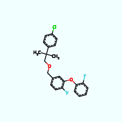 CC(C)(COCc1ccc(F)c(Oc2ccccc2F)c1)c1ccc(Cl)cc1